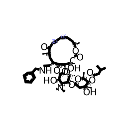 CO[C@@H]1[C@@H](O[C@@H]2O[C@H](C)[C@@H](O[C@H]3C[C@@](C)(O)[C@@H](OC(=O)CC(C)C)[C@H](C)O3)[C@H](N(C)C)[C@H]2O)[C@@H](CCNCc2ccccc2)C[C@@H](C)C(=O)/C=C/C=C\C[C@@H](C)OC(=O)C[C@@H]1O